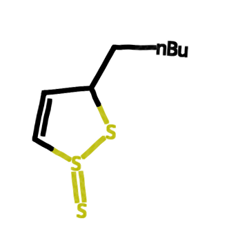 CCCCCC1C=CS(=S)S1